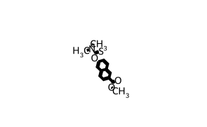 COC(=O)c1ccc2cc(OC(=S)N(C)C)ccc2c1